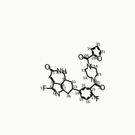 O=C1C=C2C(F)=NC3=C2C(CN1)CC(c1ccc(F)c(C(=O)N2CCN(C(=O)c4ccco4)CC2)c1)C3